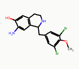 COc1c(Br)cc(CC2NCCc3cc(O)c(N)cc32)cc1Br